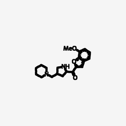 COc1cccc2cc(C(=O)C3CC(CN4CCCCC4)CN3)oc12